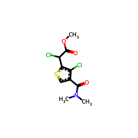 COC(=O)C(Cl)c1scc(C(=O)N(C)C)c1Cl